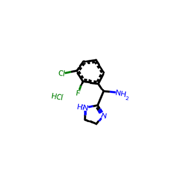 Cl.NC(C1=NCCN1)c1cccc(Cl)c1F